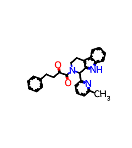 Cc1cccc(C2c3[nH]c4ccccc4c3CCN2C(=O)C(=O)CCc2ccccc2)n1